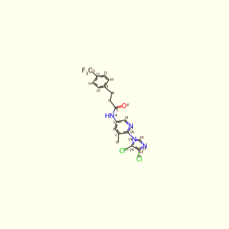 Cc1cc(NC(=O)CCc2ccc(C(F)(F)F)cc2)cnc1-n1cnc(Cl)c1Cl